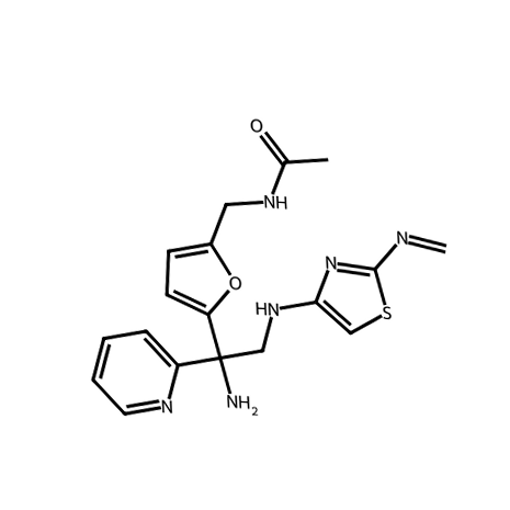 C=Nc1nc(NCC(N)(c2ccccn2)c2ccc(CNC(C)=O)o2)cs1